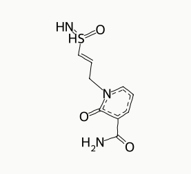 N=[SH](=O)C=CCn1cccc(C(N)=O)c1=O